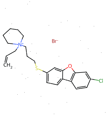 C=CC[N+]1(CCCSc2ccc3c(c2)oc2cc(Cl)ccc23)CCCCC1.[Br-]